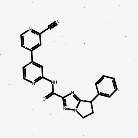 N#Cc1cc(-c2ccnc(NC(=O)c3nc4n(n3)CCC4c3ccccc3)c2)ccn1